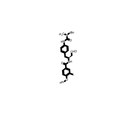 CCCOc1ccc(C(=O)N[C@H](CC=O)Cc2ccc(NC(=O)N(C)C(C)(C)C)cc2)cc1I